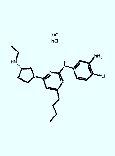 CCCCc1cc(N2CC[C@H](NCC)C2)nc(Nc2ccc(Cl)c(N)c2)n1.Cl.Cl